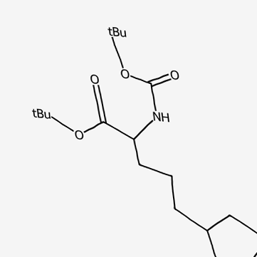 CC(C)(C)OC(=O)NC(CCCC1CCCC1)C(=O)OC(C)(C)C